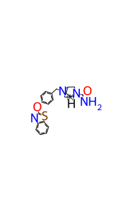 NC(=O)N1CC2C[C@@H]1CN2Cc1ccc(Oc2nc3ccccc3s2)cc1